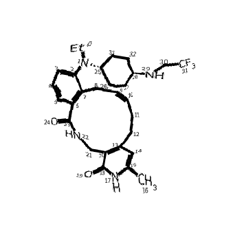 CCN(c1cccc2c1CC=CCCc1cc(C)[nH]c(=O)c1CNC2=O)[C@H]1CC[C@H](NCC(F)(F)F)CC1